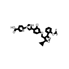 O=C(O)c1ccc(N2CNC(c3ccc(OCc4c(-c5ccccc5OC(F)F)noc4C4CC4)cc3Cl)C2)nc1